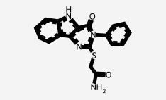 NC(=O)CSc1nc2c([nH]c3ccccc32)c(=O)n1-c1ccccc1